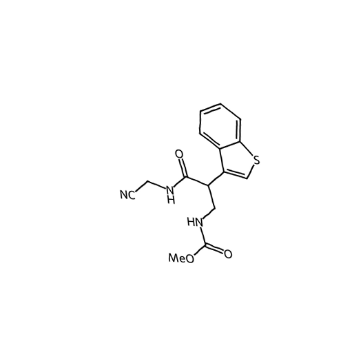 COC(=O)NCC(C(=O)NCC#N)c1csc2ccccc12